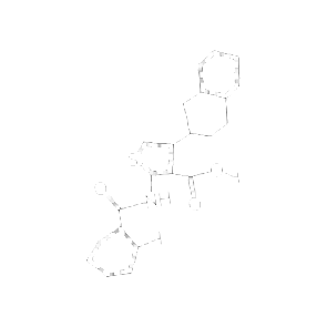 O=C(Nc1scc(C2CCc3ccccc3C2)c1C(=O)OI)c1ccccc1I